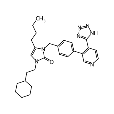 CCCCc1cn(CCC2CCCCC2)c(=O)n1Cc1ccc(-c2cnccc2-c2nnn[nH]2)cc1